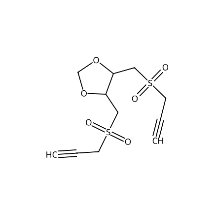 C#CCS(=O)(=O)CC1OCOC1CS(=O)(=O)CC#C